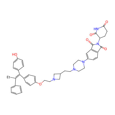 CC/C(=C(\c1ccc(O)cc1)c1ccc(OCCN2CC(CCN3CCN(c4ccc5c(c4)C(=O)N(C4CCC(=O)NC4=O)C5=O)CC3)C2)cc1)c1ccccc1